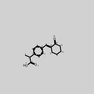 CC(C(=O)O)c1ccc(C=C2CCCCC2=O)cc1